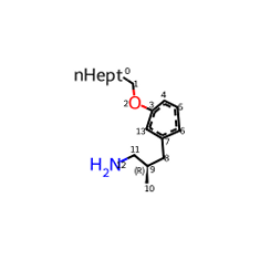 CCCCCCCCOc1cccc(C[C@@H](C)CN)c1